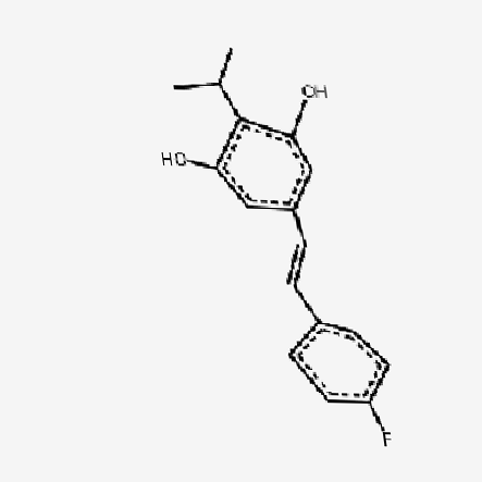 CC(C)c1c(O)cc(C=Cc2ccc(F)cc2)cc1O